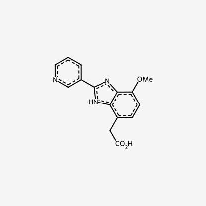 COc1ccc(CC(=O)O)c2[nH]c(-c3cccnc3)nc12